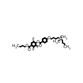 CCCCOC(=O)c1cc(F)c(OC(=O)c2ccc(OCCCC[Si](C)(C)CCCC)cc2)c(F)c1F